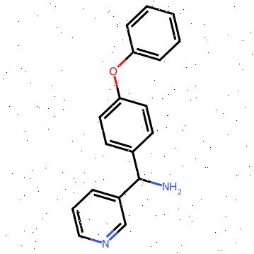 NC(c1ccc(Oc2ccccc2)cc1)c1cccnc1